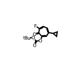 CC(C)(C)OC(=O)Oc1cc(C2CC2)ccc(F)c1=O